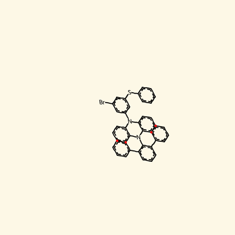 Brc1cc(Sc2ccccc2)cc(N2c3ccccc3N(c3c(-c4ccccc4)cccc3-c3ccccc3)c3ccccc32)c1